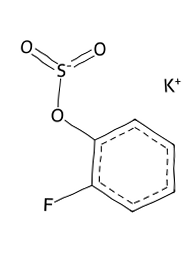 O=[S-](=O)Oc1ccccc1F.[K+]